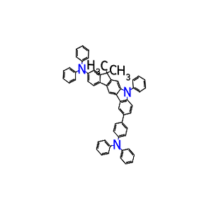 CC1(C)c2cc(N(c3ccccc3)c3ccccc3)ccc2-c2cc3c4cc(-c5ccc(N(c6ccccc6)c6ccccc6)cc5)ccc4n(-c4ccccc4)c3cc21